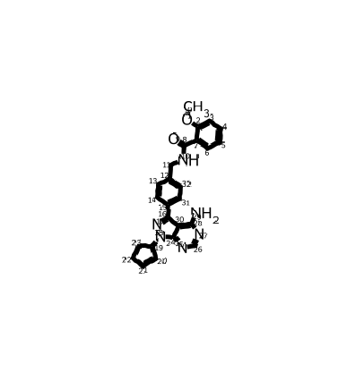 COc1ccccc1C(=O)NCc1ccc(-c2nn(C3C=CCC3)c3ncnc(N)c23)cc1